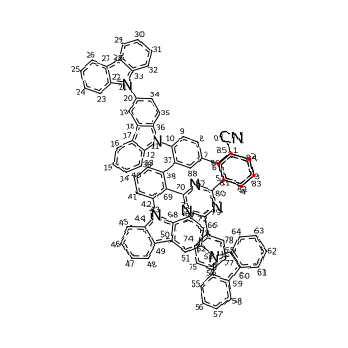 N#Cc1ccccc1-c1ccc(-n2c3ccccc3c3cc(-n4c5ccccc5c5ccccc54)ccc32)c(-c2cccc(-n3c4ccccc4c4cc(-n5c6ccccc6c6ccccc65)ccc43)c2-c2nc(-c3ccccc3)nc(-c3ccccc3)n2)c1